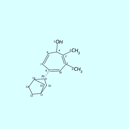 CC1=C(C)C(O)C=CC([C@@H]2CC3CCC2C3)=C1